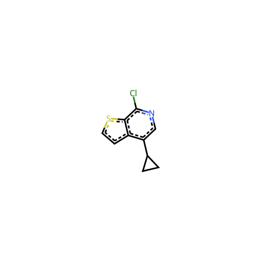 Clc1ncc(C2CC2)c2ccsc12